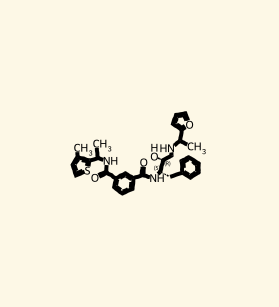 Cc1ccsc1C(C)NC(=O)c1cccc(C(=O)N[C@@H](Cc2ccccc2)[C@H](O)CNC(C)c2ccco2)c1